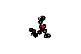 c1ccc(-c2ccc(-c3cccc4ccccc34)cc2N(c2ccc(-c3ccc4oc5ccccc5c4c3)cc2)c2ccc(-c3cccc4oc5c6ccccc6ccc5c34)cc2)cc1